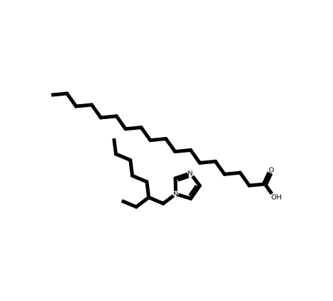 CCCCCC(CC)Cn1ccnc1.CCCCCCCCCCCCCCCCCC(=O)O